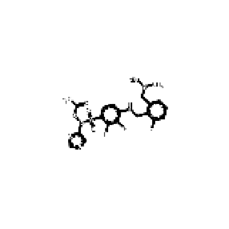 CN(Cc1cccc(F)c1CNc1ccc(S(=O)(=O)N(OC(=O)C(F)(F)F)c2cscn2)c(F)c1F)C(C)(C)C